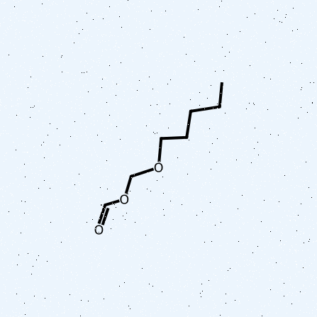 CCCCCOCO[C]=O